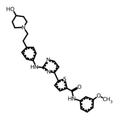 COc1cccc(NC(=O)c2ccc(-c3ccnc(Nc4ccc(CCN5CCC(O)CC5)cc4)n3)s2)c1